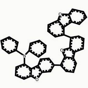 c1ccc(N(c2ccccc2)c2cccc3oc4cc(-c5cccc6c5oc5c(-c7cccc8oc9ccccc9c78)cccc56)ccc4c23)cc1